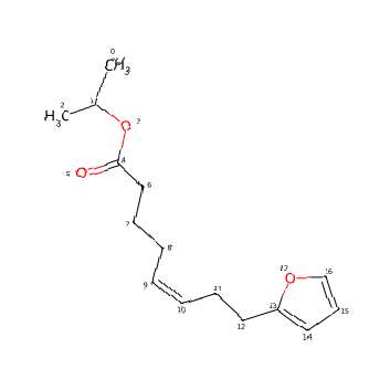 CC(C)OC(=O)CCC/C=C\CCc1ccco1